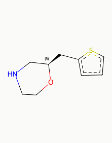 c1csc(C[C@@H]2CNCCO2)c1